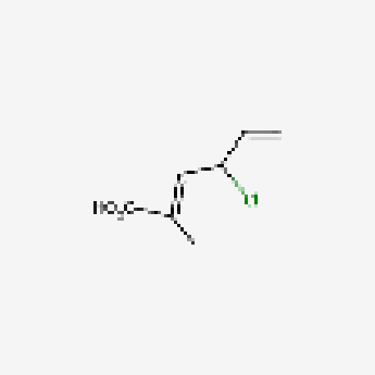 C=CC(Cl)C=C(C)C(=O)O